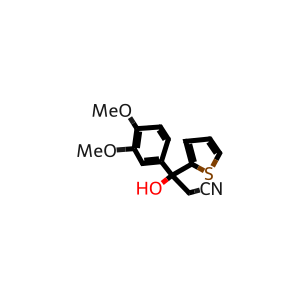 COc1ccc(C(O)(CC#N)c2cccs2)cc1OC